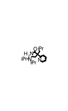 CC(C)CC(CCN(C(C)C)C(C)C)(C(N)=O)c1ccccn1